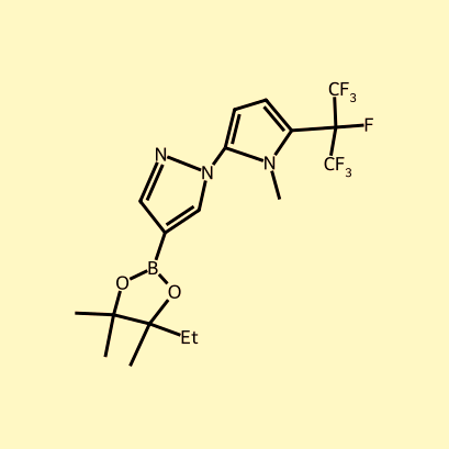 CCC1(C)OB(c2cnn(-c3ccc(C(F)(C(F)(F)F)C(F)(F)F)n3C)c2)OC1(C)C